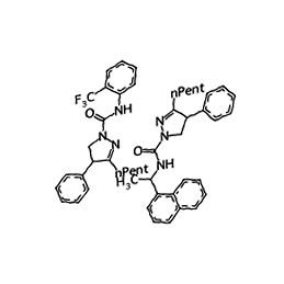 CCCCCC1=NN(C(=O)NC(C)c2cccc3ccccc23)CC1c1ccccc1.CCCCCC1=NN(C(=O)Nc2ccccc2C(F)(F)F)CC1c1ccccc1